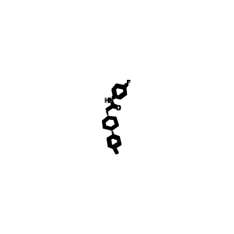 Cc1ccc([C@H]2CC[C@@H](CC(=O)Nc3ccc(F)cc3)CC2)cc1